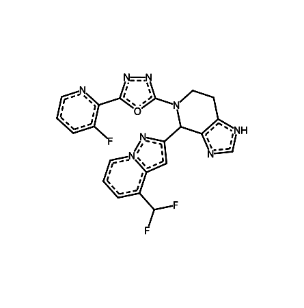 Fc1cccnc1-c1nnc(N2CCc3[nH]cnc3C2c2cc3c(C(F)F)cccn3n2)o1